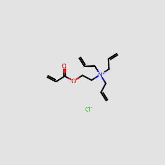 C=CC[N+](CC=C)(CC=C)CCOC(=O)C=C.[Cl-]